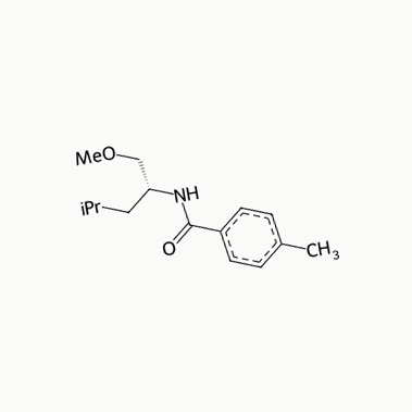 COC[C@@H](CC(C)C)NC(=O)c1ccc(C)cc1